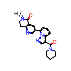 CN1CCc2ncc(-c3cccc4c(C(=O)N5CCCCC5)cnn34)cc2C1=O